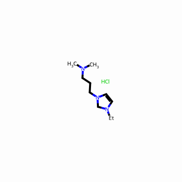 CCN1C=CN(CCCN(C)C)C1.Cl